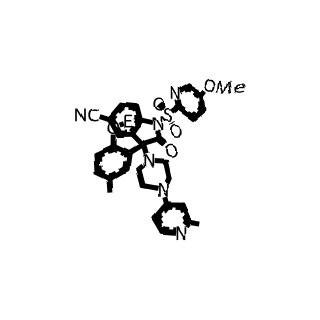 CCOc1ccc(C)cc1C1(N2CCN(c3ccnc(C)c3)CC2)C(=O)N(S(=O)(=O)c2ccc(OC)cn2)c2ccc(C#N)cc21